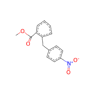 COC(=O)c1ccccc1Cc1ccc([N+](=O)[O-])cc1